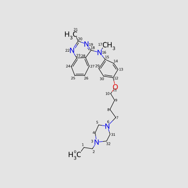 CCCN1CCN(CCCCOc2ccc(N(C)c3nc(C)nc4ccccc34)cc2)CC1